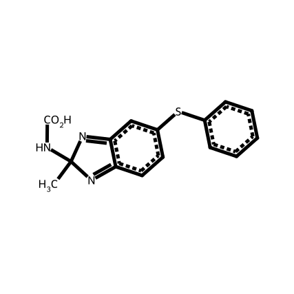 CC1(NC(=O)O)N=c2ccc(Sc3ccccc3)cc2=N1